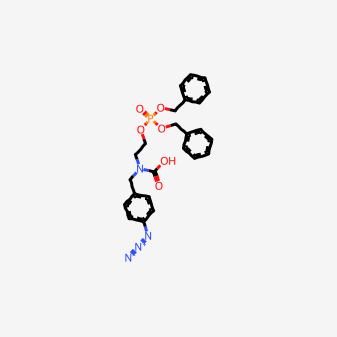 [N-]=[N+]=Nc1ccc(CN(CCOP(=O)(OCc2ccccc2)OCc2ccccc2)C(=O)O)cc1